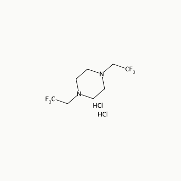 Cl.Cl.FC(F)(F)CN1CCN(CC(F)(F)F)CC1